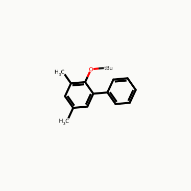 Cc1cc(C)c(OC(C)(C)C)c(-c2ccccc2)c1